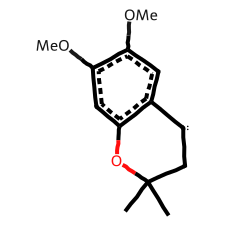 COc1cc2c(cc1OC)OC(C)(C)C[C]2